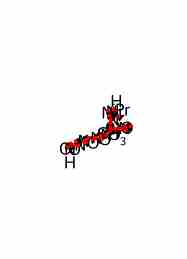 CC(C)n1cnc2cc(-c3ccc4c(c3)N([C@H]3C[C@@H](N5CC6CCC(C5)O6)C3)C(=O)C43CCN(C(=O)C4(C)CCN(C(=O)CC5CCN(c6ccc(C7CCC(=O)NC7=O)cn6)CC5)CC4)CC3)nc(NC3CC3)c21